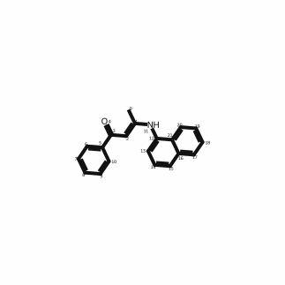 CC(=CC(=O)c1ccccc1)Nc1cccc2ccccc12